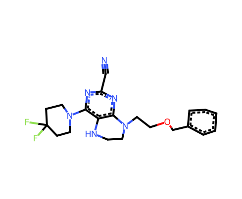 N#Cc1nc2c(c(N3CCC(F)(F)CC3)n1)NCCN2CCOCc1ccccc1